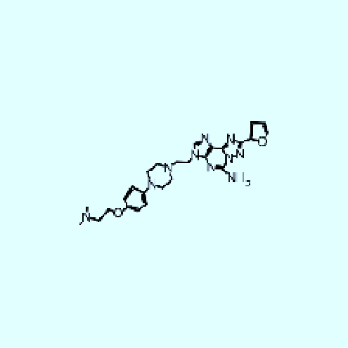 CN(C)CCOc1ccc(N2CCN(CCn3cnc4c3nc(N)n3nc(-c5ccco5)nc43)CC2)cc1